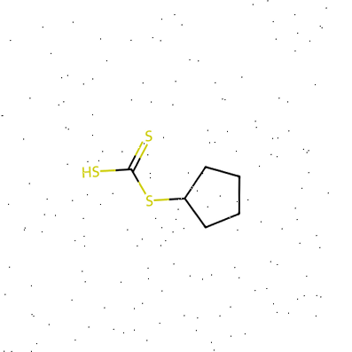 S=C(S)SC1CCCC1